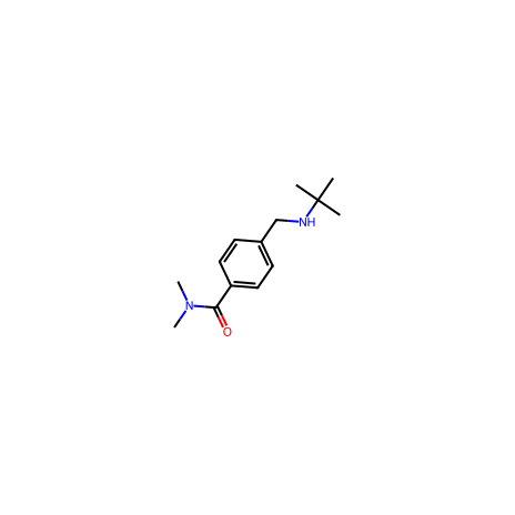 CN(C)C(=O)c1ccc(CNC(C)(C)C)cc1